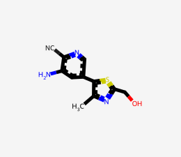 Cc1nc(CO)sc1-c1cnc(C#N)c(N)c1